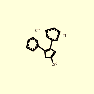 [Cl-].[Cl-].[Zr+2][C]1=CC(c2ccccc2)=C(c2ccccc2)C1